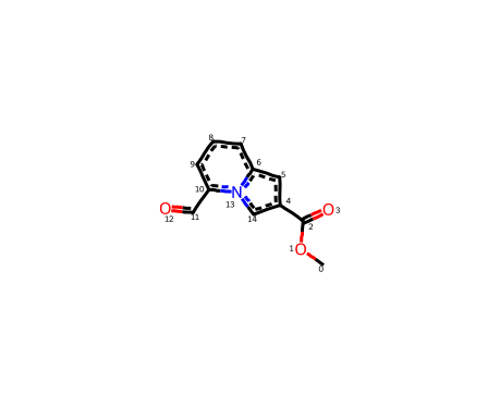 COC(=O)c1cc2cccc(C=O)n2c1